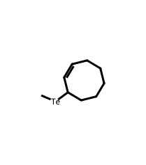 C[Te]C1/C=C\CCCCC1